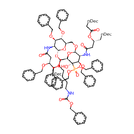 CCCCCCCCCCCC(=O)O[C@H](CCCCCCCCCCC)CC(=O)N[C@@H]1[C@H](OC[C@H]2O[C@H](OCCCCCCNC(=O)OCc3ccccc3)[C@@H](NC(=O)C[C@@H](CCCCCCCCCCC)OCc3ccccc3)[C@@H](OCc3ccccc3)[C@@H]2OCc2ccccc2)O[C@H](COCc2ccccc2)[C@](O)(P(=O)(OCc2ccccc2)OCc2ccccc2)[C@@H]1OCc1ccccc1